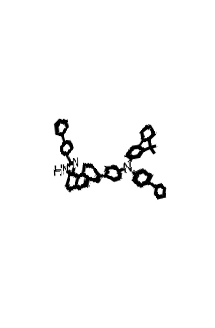 CC1(C)c2ccccc2-c2ccc(N(c3ccc(-c4ccccc4)cc3)c3ccc(-c4ccc5c(ccc6ccc7[nH]c(-c8ccc(-c9ccccc9)cc8)nc7c65)c4)cc3)cc21